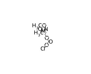 Cc1cccc2nc(CCc3ccc(C(=O)c4ccc(Cl)cc4)cc3)n(C)c(=O)c12